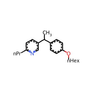 CCCCCCOc1ccc(C(C)c2ccc(CCC)nc2)cc1